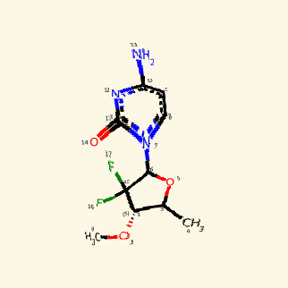 CO[C@H]1C(C)OC(n2ccc(N)nc2=O)C1(F)F